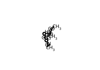 CCOC(=O)CNC(=O)N1Cc2ccccc2N(C(=O)c2ccc(-c3ncc(C)o3)cc2Cl)C[C@H]1C